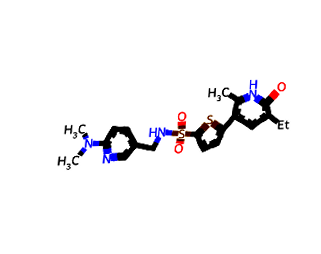 CCc1cc(-c2ccc(S(=O)(=O)NCc3ccc(N(C)C)nc3)s2)c(C)[nH]c1=O